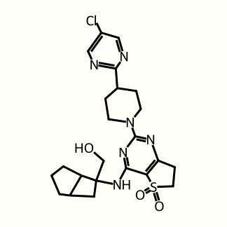 O=S1(=O)CCc2nc(N3CCC(c4ncc(Cl)cn4)CC3)nc(NC3(CO)CC4CCCC43)c21